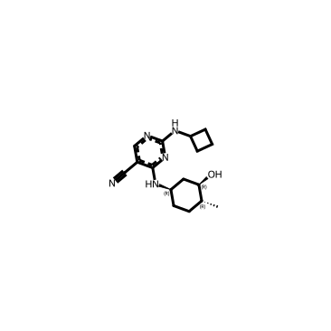 C[C@@H]1CC[C@@H](Nc2nc(NC3CCC3)ncc2C#N)C[C@H]1O